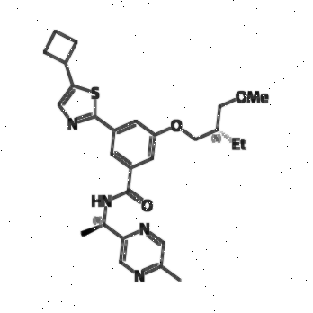 CC[C@@H](COC)COc1cc(C(=O)N[C@H](C)c2cnc(C)cn2)cc(-c2ncc(C3CCC3)s2)c1